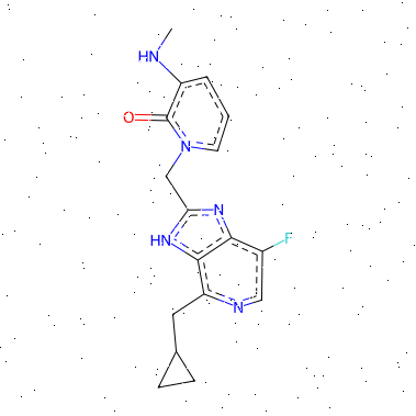 CNc1cccn(Cc2nc3c(F)cnc(CC4CC4)c3[nH]2)c1=O